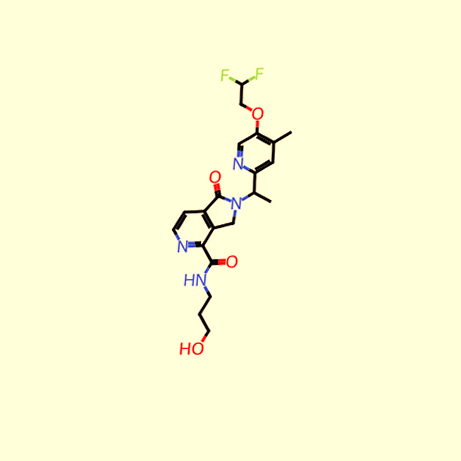 Cc1cc(C(C)N2Cc3c(ccnc3C(=O)NCCCO)C2=O)ncc1OCC(F)F